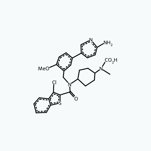 COc1ccc(-c2ccc(N)nc2)cc1CN(C(=O)c1sc2ccccc2c1Cl)C1CCC(N(C)C(=O)O)CC1